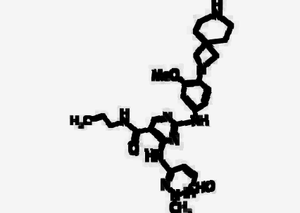 C=CCNC(=O)c1cnc(Nc2ccc(N3CC4(CCNCC4)C3)c(OC)c2)nc1NC(/C=C\C=O)=N/N(C)C(C)C